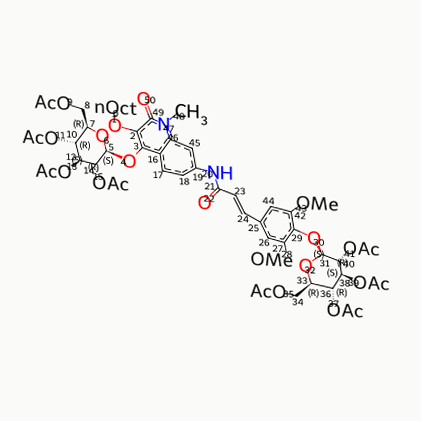 CCCCCCCCOc1c(O[C@@H]2O[C@H](COC(C)=O)[C@@H](OC(C)=O)[C@H](OC(C)=O)[C@H]2OC(C)=O)c2ccc(NC(=O)C=Cc3cc(OC)c(O[C@@H]4O[C@H](COC(C)=O)[C@@H](OC(C)=O)[C@H](OC(C)=O)[C@H]4OC(C)=O)c(OC)c3)cc2n(C)c1=O